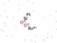 [O-2].[O-2].[Pt].[Ru+4].[Si]